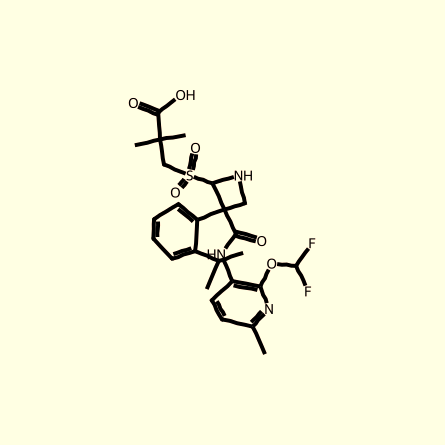 Cc1ccc(NC(=O)C2(c3ccccc3C(C)C)CNC2S(=O)(=O)CC(C)(C)C(=O)O)c(OC(F)F)n1